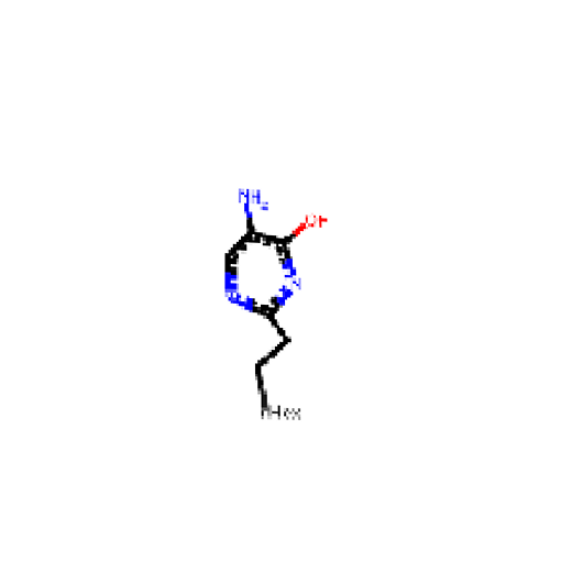 CCCCCCCCc1ncc(N)c(O)n1